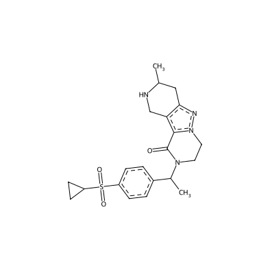 CC1Cc2nn3c(c2CN1)C(=O)N(C(C)c1ccc(S(=O)(=O)C2CC2)cc1)CC3